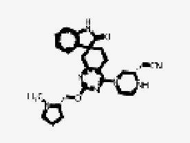 CN1CCC[C@H]1COc1nc2c(c(N3CCN[C@@H](CC#N)C3)n1)CCC1(C2)C(=O)Nc2ccccc21